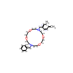 C=C/C=C\C(=C/C)CN1CCOCCOCCN(Cc2ccccc2)CCOCCOCC1